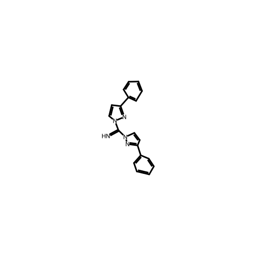 N=C(n1ccc(-c2ccccc2)n1)n1ccc(-c2ccccc2)n1